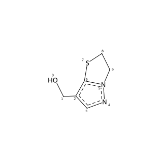 OCc1cnn2c1SCC2